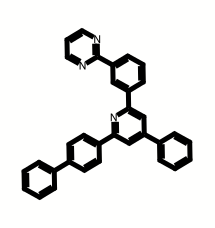 c1ccc(-c2ccc(-c3cc(-c4ccccc4)cc(-c4cccc(-c5ncccn5)c4)n3)cc2)cc1